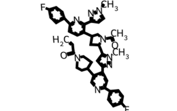 C=CC(=O)N1CCC(c2cnc(-c3ccc(F)cc3)cc2-c2cc(C3CC(c4ccc(-c5ccc(F)cc5)nc4-c4ccn(C)n4)CN3C(C)=O)n(C)n2)CC1